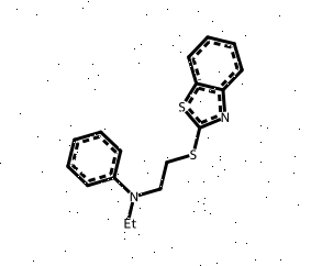 CCN(CCSc1nc2ccccc2s1)c1ccccc1